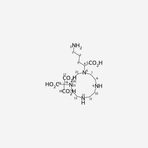 NCCCC(C(=O)O)N1CCNCCNCCN(C(C(=O)O)(C(=O)O)C(=O)O)CC1